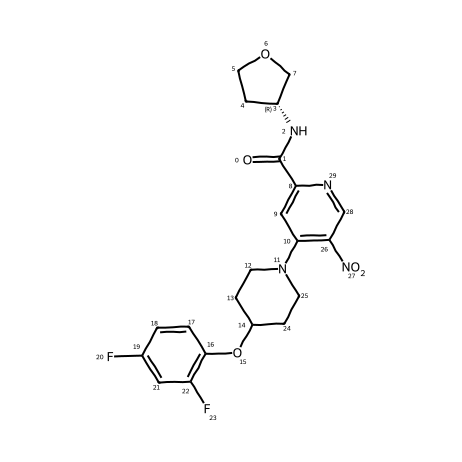 O=C(N[C@@H]1CCOC1)c1cc(N2CCC(Oc3ccc(F)cc3F)CC2)c([N+](=O)[O-])cn1